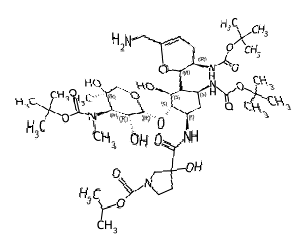 CC(C)OC(=O)N1CCC(O)(C(=O)N[C@@H]2C[C@H](NC(=O)OC(C)(C)C)C([C@H]3OC(CN)=CC[C@H]3NC(=O)OC(C)(C)C)[C@H](O)[C@H]2O[C@H]2OC[C@](C)(O)[C@H](N(C)C(=O)OC(C)(C)C)[C@H]2O)C1